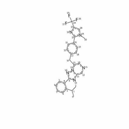 CC(C)c1ccccc1-c1nc2cncc(Cc3ccc(-c4nc(C(F)(F)F)cn4C)cc3)n2n1